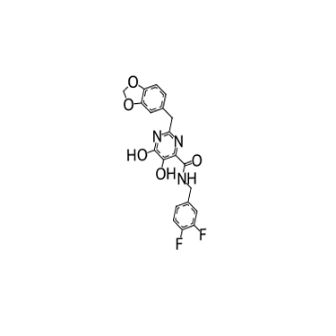 O=C(NCc1ccc(F)c(F)c1)c1nc(Cc2ccc3c(c2)OCO3)nc(O)c1O